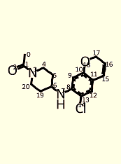 CC(=O)N1CCC(Nc2cc3c(cc2Cl)C=CCO3)CC1